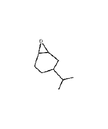 CC(C)C1CCC2OC2C1